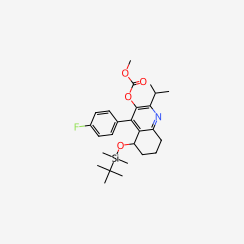 COC(=O)Oc1c(C(C)C)nc2c(c1-c1ccc(F)cc1)C(O[Si](C)(C)C(C)(C)C)CCC2